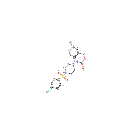 O=C1OCc2cc(Br)ccc2N1C1CCN(S(=O)(=O)c2ccc(F)cc2)CC1